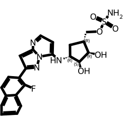 NS(=O)(=O)OC[C@H]1C[C@@H](Nc2ccnc3cc(-c4ccc5ccccc5c4F)nn23)[C@H](O)[C@@H]1O